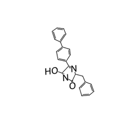 O=C1N=C(O)C(c2ccc(-c3ccccc3)cc2)=NC1Cc1ccccc1